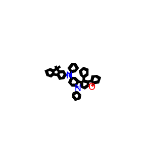 CC1(C)c2ccccc2-c2ccc(N(c3ccccc3)c3ccc4c(c3)c3c(-c5ccccc5)c5c(cc3n4-c3ccccc3)oc3ccccc35)cc21